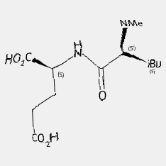 CC[C@H](C)[C@H](NC)C(=O)N[C@@H](CCC(=O)O)C(=O)O